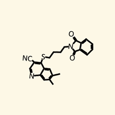 Cc1cc2ncc(C#N)c(SCCCCN3C(=O)c4ccccc4C3=O)c2cc1C